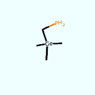 [CH3][Ge]([CH3])([CH3])[CH2]P